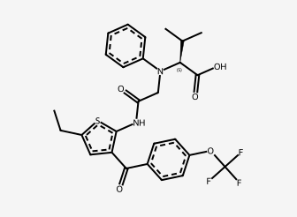 CCc1cc(C(=O)c2ccc(OC(F)(F)F)cc2)c(NC(=O)CN(c2ccccc2)[C@H](C(=O)O)C(C)C)s1